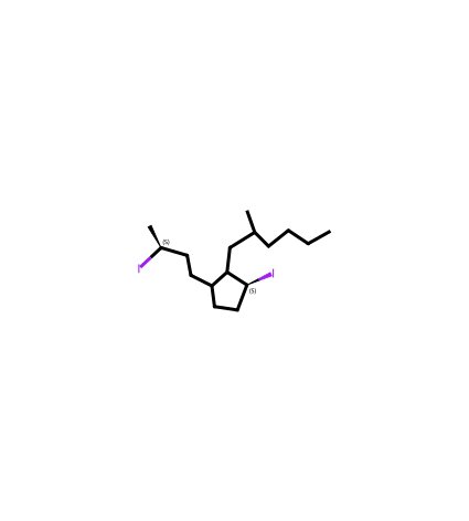 CCCCC(C)CC1C(CC[C@H](C)I)CC[C@@H]1I